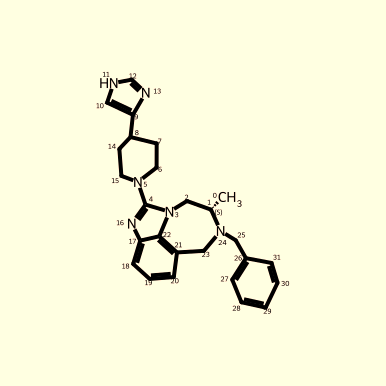 C[C@H]1Cn2c(N3CCC(c4c[nH]cn4)CC3)nc3cccc(c32)CN1Cc1ccccc1